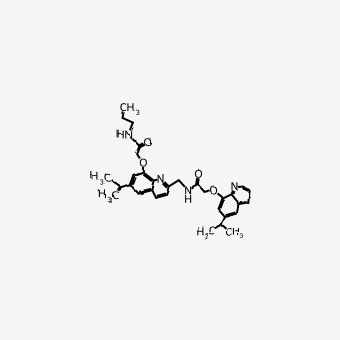 CCCNC(=O)COc1cc(C(C)C)cc2ccc(CNC(=O)COc3cc(C(C)C)cc4cccnc34)nc12